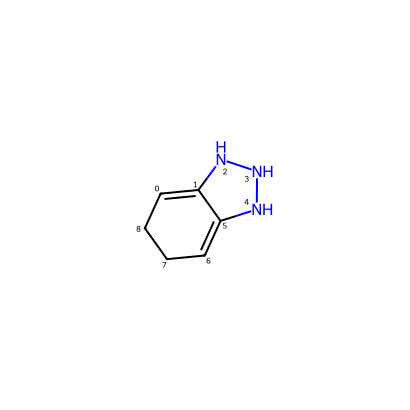 C1=C2NNNC2=CCC1